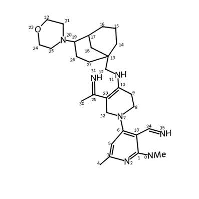 CNc1nc(C)cc(N2CCC(NCC34CCCC(C3)C(N3CCOCC3)CC4)=C(C(C)=N)C2)c1C=N